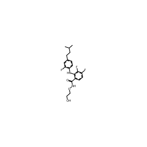 CC(C)CCc1ccc(Nc2c(C(=O)NOCCO)ccc(F)c2F)c(F)c1